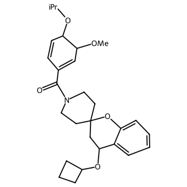 COC1C=C(C(=O)N2CCC3(CC2)CC(OC2CCC2)c2ccccc2O3)C=CC1OC(C)C